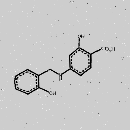 O=C(O)c1ccc(NCc2ccccc2O)cc1O